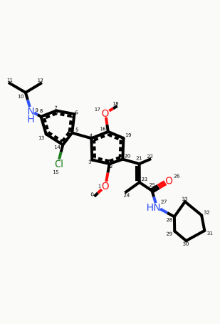 COc1cc(-c2ccc(NC(C)C)cc2Cl)c(OC)cc1/C(C)=C(\C)C(=O)NC1CCCCC1